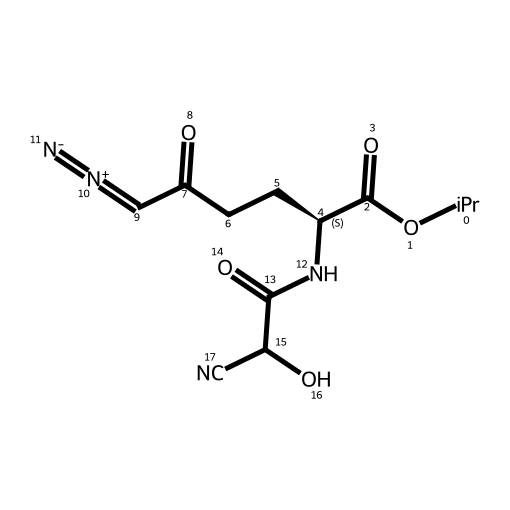 CC(C)OC(=O)[C@H](CCC(=O)C=[N+]=[N-])NC(=O)C(O)C#N